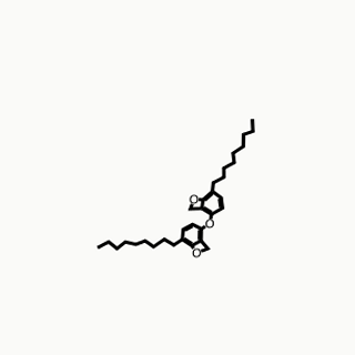 CCCCCCCCCc1ccc(Oc2ccc(CCCCCCCCC)c3c2CO3)c2c1OC2